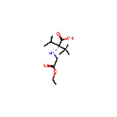 CCOC(=O)CN[C@@](C(=O)O)(C(C)C)C(C)(C)C